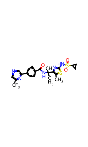 Cc1sc(NS(=O)(=O)C2CC2)nc1C(C)(C)NC(=O)c1ccc(-c2cncc(C(F)(F)F)n2)cc1